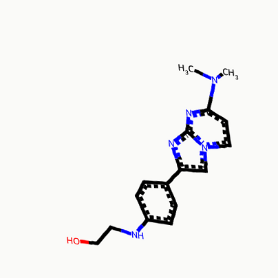 CN(C)c1ccn2cc(-c3ccc(NCCO)cc3)nc2n1